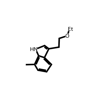 CCOCCc1c[nH]c2c(C)cccc12